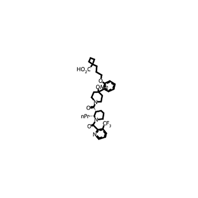 CCC[C@@H]1[C@H](C(=O)N2CCC(OC)(c3ccccc3OCCCC3(C(=O)O)CCC3)CC2)CCCN1C(=O)c1ncccc1C(F)(F)F